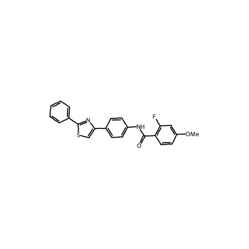 COc1ccc(C(=O)Nc2ccc(-c3csc(-c4ccccc4)n3)cc2)c(F)c1